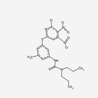 CCCN(CCC)C(=O)Nc1cc(C)cc(Sc2cc([N+](=O)[O-])c([N+](=O)[O-])c(Cl)n2)c1